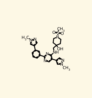 Cn1cc(-c2cccc(-c3ncc(-c4cnn(C)c4)c(NCC4(O)CCN(S(C)(=O)=O)CC4)n3)c2)cn1